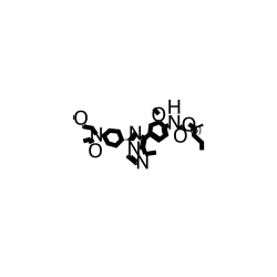 CCC[C@H](C)OC(=O)NC1=CC=C(c2nc([C@H]3CC[C@H](N(CCOC)C(C)=O)CC3)n3ccnc(C)c23)CC1OC